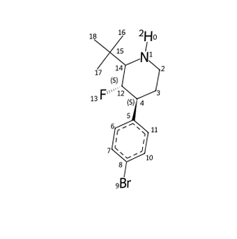 [2H]N1CC[C@@H](c2ccc(Br)cc2)[C@H](F)C1C(C)(C)C